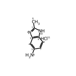 Cc1nc2cc(N)ccc2[nH]1.Cl